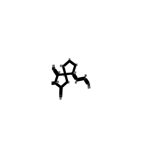 O=C1CC2(SCCS2=S=S=S)C(=O)N1